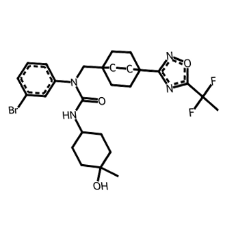 CC1(O)CCC(NC(=O)N(CC23CCC(c4noc(C(C)(F)F)n4)(CC2)CC3)c2cccc(Br)c2)CC1